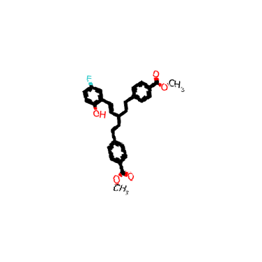 COC(=O)c1ccc(CCC(C=Cc2cc(F)ccc2O)CCc2ccc(C(=O)OC)cc2)cc1